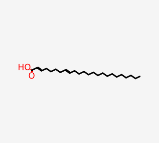 CCCCCCCCCCCCCCCC=CCCCCC=CC(=O)O